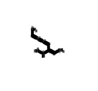 CC=C=C=C/C(=C\C)NO